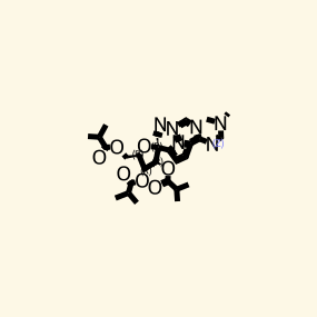 CC(C)C(=O)OC[C@H]1O[C@@](C#N)(c2ccc3c(/N=C\N(C)C)ncnn23)[C@H](OC(=O)C(C)C)[C@@H]1OC(=O)C(C)C